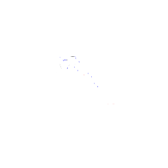 CCC(O)[C@H]1CC[C@H](N2CC(NC(=O)CNc3nccc4ncc(C(F)(F)F)cc34)C2)CC1